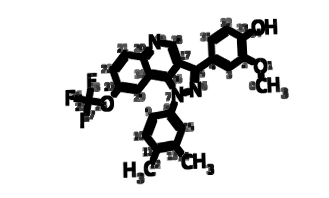 COc1cc(-c2nn(-c3ccc(C)c(C)c3)c3c2cnc2ccc(OC(F)(F)F)cc23)ccc1O